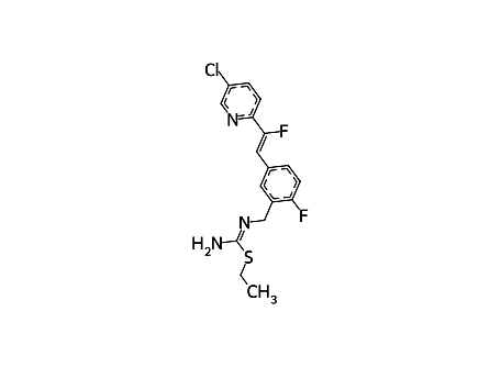 CCS/C(N)=N\Cc1cc(/C=C(\F)c2ccc(Cl)cn2)ccc1F